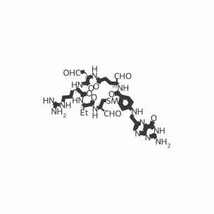 CC[C@H](NC(=O)[C@H](CCCNC(=N)N)NC(=O)[C@H](CC=O)NC(=O)CC[C@@H](C=O)NC(=O)c1ccc(NCc2cnc3nc(N)[nH]c(=O)c3n2)cc1)C(=O)N[C@H](C=O)CSC